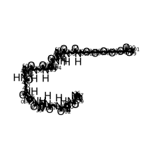 Cn1cc(NC(=O)c2nc(NC(=O)CCNC(=O)c3cc(NC(=O)c4nccn4C)cn3C)cn2C)cc1C(=O)NCCCC(=O)Nc1cn(C)c(C(=O)NCCC(=O)Nc2cc(C(=O)Nc3cn(C)c(C(=O)NCCC(=O)NCCOCCOCCOCCOCCOCC(=O)OC(C)(C)C)n3)n(C)c2)n1